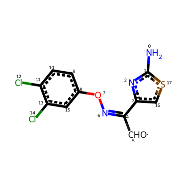 Nc1nc(/C([C]=O)=N\Oc2ccc(Cl)c(Cl)c2)cs1